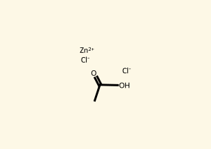 CC(=O)O.[Cl-].[Cl-].[Zn+2]